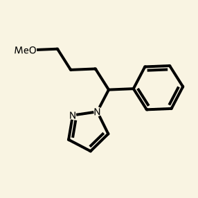 COCCCC(c1ccccc1)n1cccn1